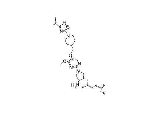 C=C/C(F)=C\C=C(\F)C[C@H]1CN(c2ncc(OCC3CCN(c4nc(C(C)C)no4)CC3)c(OC)n2)C[C@@H]1N